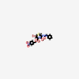 CC1(Br)CS[C@@H]2C(NC(=O)Cc3ccccc3)C(=O)N2C1C(=O)OCc1ccc([N+](=O)[O-])cc1